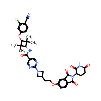 CC1(C)[C@H](NC(=O)c2cnc(N3CC(CCOc4ccc5c(c4)C(=O)N(C4CCC(=O)NC4=O)C5=O)C3)nc2)C(C)(C)[C@H]1Oc1ccc(C#N)c(Cl)c1